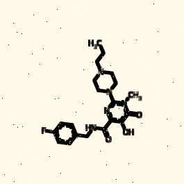 CCCN1CCN(c2nc(C(=O)NCc3ccc(F)cc3)c(O)c(=O)n2C)CC1